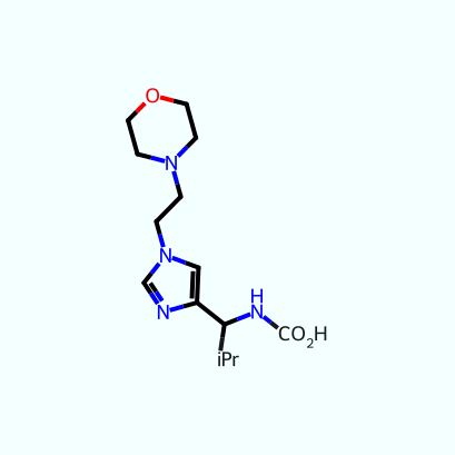 CC(C)C(NC(=O)O)c1cn(CCN2CCOCC2)cn1